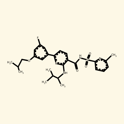 Cc1cccc(S(=O)(=O)NC(=O)c2ccc(-c3cc(F)cc(OCC(C)C)c3)nc2NC(C)C(C)C)n1